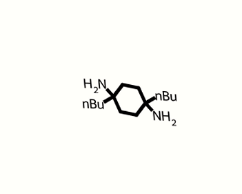 CCCCC1(N)CCC(N)(CCCC)CC1